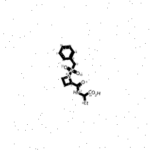 CCC(NC(=O)C1CCN1S(=O)(=O)Cc1ccccc1)C(=O)O